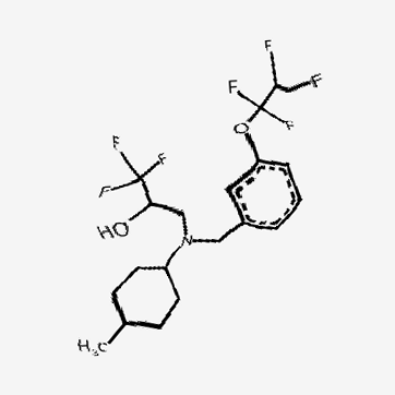 CC1CCC(N(Cc2cccc(OC(F)(F)C(F)F)c2)CC(O)C(F)(F)F)CC1